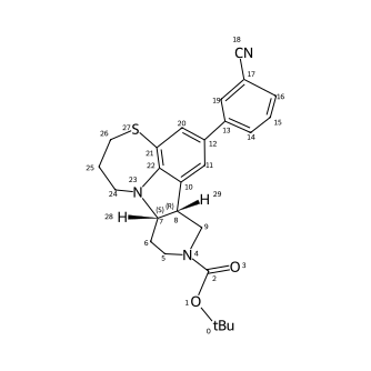 CC(C)(C)OC(=O)N1CC[C@H]2[C@@H](C1)c1cc(-c3cccc(C#N)c3)cc3c1N2CCCS3